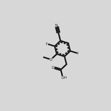 COc1c(F)c(C#N)cc(F)c1CC(=O)O